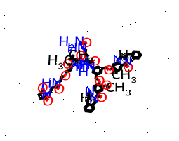 COc1cc2c(cc1OCc1cc(COc3cc4c(cc3C)C(=O)N3Cc5ccccc5C[C@H]3C=N4)cc(NC(=O)[C@H](CCCNC(N)=O)NC(=O)[C@@H](NC(=O)CCOCCNC(=O)CCN3C(=O)C=CC3=O)C(C)C)c1)N=C[C@@H]1Cc3ccccc3CN1C2=O